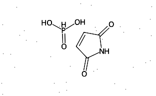 O=C1C=CC(=O)N1.O=[PH](O)O